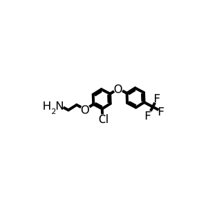 NCCOc1ccc(Oc2ccc(C(F)(F)F)cc2)cc1Cl